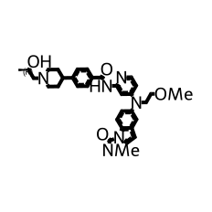 CNC(=O)n1ccc2cc(N(CCOC)c3ccnc(NC(=O)c4ccc(C5CCN(C[C@@H](C)O)CC5)cc4)c3)ccc21